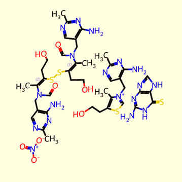 C/C(=C(\CCO)SS/C(CCO)=C(/C)N(C=O)Cc1cnc(C)nc1N)N(C=O)Cc1cnc(C)nc1N.Cc1ncc(C[n+]2csc(CCO)c2C)c(N)n1.Nc1nc2nc[nH]c2c(=S)[nH]1.O=[N+]([O-])[O-]